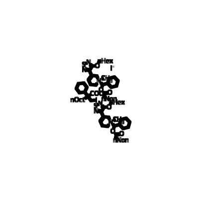 CCCCCCCCC(CI)(C(=O)[O-])C1CCCCC1.CCCCCCCCCC(=O)OC(C1CCCCC1)[N+]1(C)CCC=C(c2nsnc2OCCCCCC)C1.CCCCCCCCCC(=O)OC(C1CCCCC1)[N+]1(C)CCC=C(c2nsnc2OCCCCCC)C1.[I-]